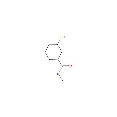 CN(C)C(=O)C1CCCC(S)C1